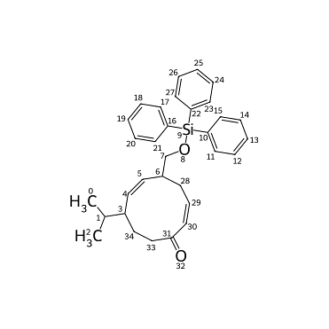 CC(C)C1C=CC(CO[Si](c2ccccc2)(c2ccccc2)c2ccccc2)CC=CC(=O)CC1